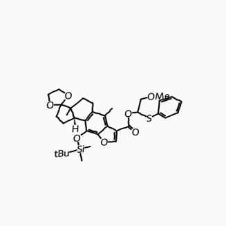 COCC(OC(=O)c1coc2c(O[Si](C)(C)C(C)(C)C)c3c(c(C)c12)CCC1(C)[C@H]3CCC12OCCO2)Sc1ccccc1